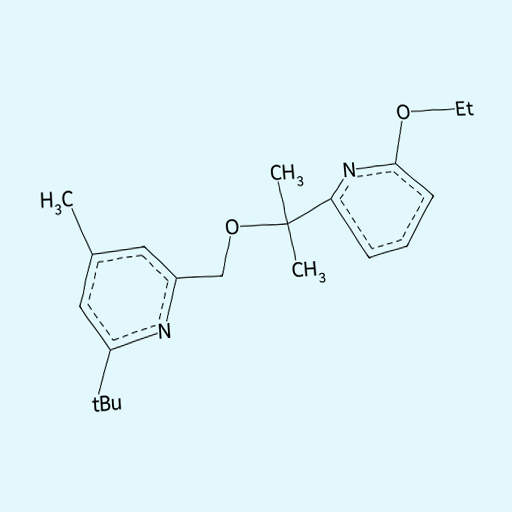 CCOc1cccc(C(C)(C)OCc2cc(C)cc(C(C)(C)C)n2)n1